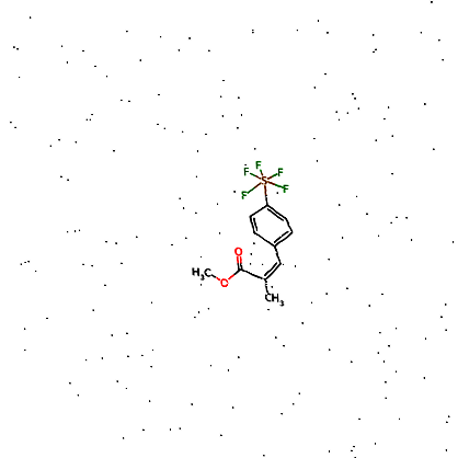 COC(=O)C(C)=Cc1ccc(S(F)(F)(F)(F)F)cc1